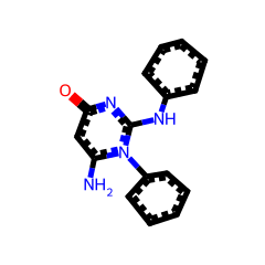 Nc1cc(=O)nc(Nc2ccccc2)n1-c1ccccc1